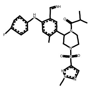 Cc1cc(Nc2ccc(F)cc2)c(C=N)cc1C1CN(S(=O)(=O)c2cnn(C)n2)CCN1C(=O)C(C)C